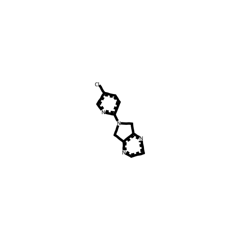 Clc1ccc(N2Cc3nccnc3C2)nc1